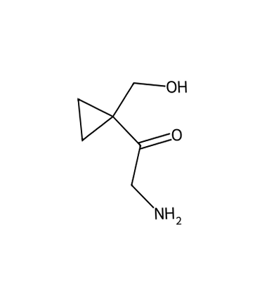 NCC(=O)C1(CO)CC1